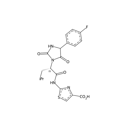 CC(C)C[C@@H](C(=O)Nc1nc(C(=O)O)cs1)N1C(=O)NC(c2ccc(F)cc2)C1=O